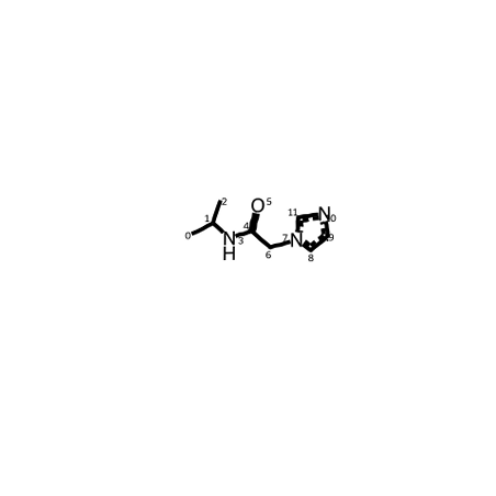 CC(C)NC(=O)Cn1c[c]nc1